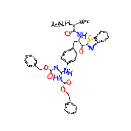 CC(=O)N[C@H](C(=O)NC(Cc1ccc(NC(=NC(=O)OCc2ccccc2)NC(=O)OCc2ccccc2)cc1)C(=O)c1nc2ccccc2s1)C(C)C